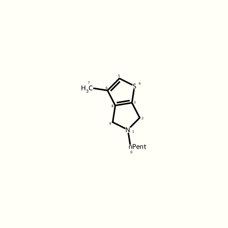 CCCCCN1Cc2scc(C)c2C1